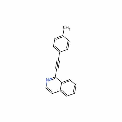 Cc1ccc(C#Cc2nccc3ccccc23)cc1